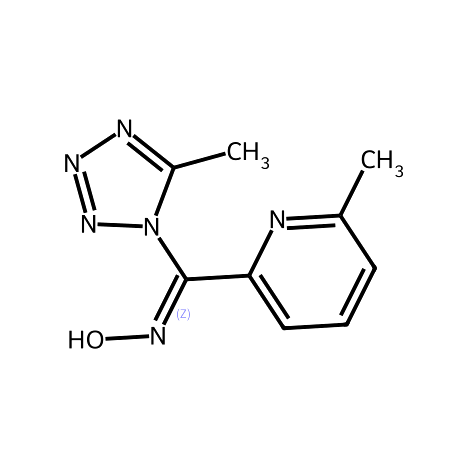 Cc1cccc(/C(=N/O)n2nnnc2C)n1